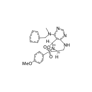 COc1ccc(S(=O)(=O)N2[C@H]3CNc4ncnc(N(C)Cc5ccccc5)c4[C@@H]2OC3)cc1